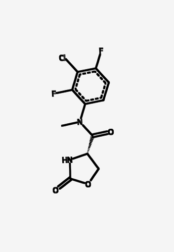 CN(C(=O)[C@@H]1COC(=O)N1)c1ccc(F)c(Cl)c1F